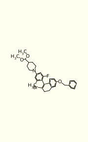 COC(OC)C1CCN(c2cc(C)c(C3=C(Br)CCc4cc(OCc5ccccc5)ccc43)c(F)c2)CC1